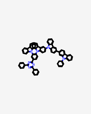 C1=CCCC(n2c3ccccc3c3ccc(-c4ccc5c(c4)c4ccccc4n5-c4ccc5c(c4)c4ccccc4n5-c4ccc(-c5nc(-c6ccccc6)nc(-c6ccccc6)n5)cc4-n4c5ccccc5c5ccccc54)cc32)=C1